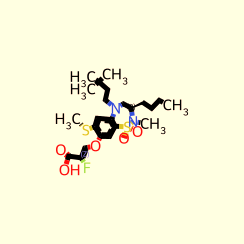 CCCC[C@@H]1CN(CCC(C)(C)C)c2cc(SC)c(O/C=C(\F)C(=O)O)cc2S(=O)(=O)N1C